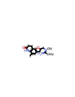 CSC(N)=[N+](C#N)CC1Cc2cc(C)c3c(c2O1)CCC(=O)N3